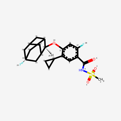 CS(=O)(=O)NC(=O)c1cc(C2CC2)c(O[C@H]2C3CC4CC2C[C@](F)(C4)C3)cc1F